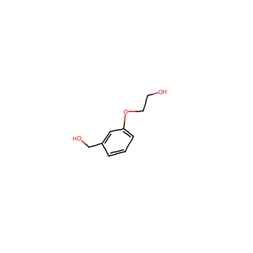 OCCOc1cc[c]c(CO)c1